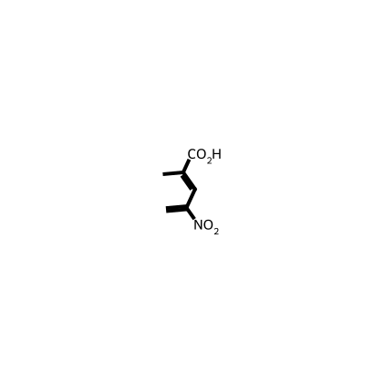 C=C(C=C(C)C(=O)O)[N+](=O)[O-]